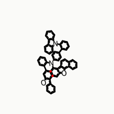 c1ccc(N(c2ccc(-c3ccccc3-n3c4ccccc4c4ccccc43)cc2)c2cccc3oc4c5ccccc5ccc4c23)c(-c2ccc3c(c2)oc2ccccc23)c1